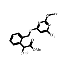 COC(=O)C(C=O)c1ccccc1COc1cc(C(F)(F)F)nc(OC(C)C)n1